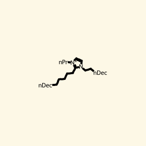 CCCCCCCCCCCCCCCc1n(CCCCCCCCCCCC)cc[n+]1CCC